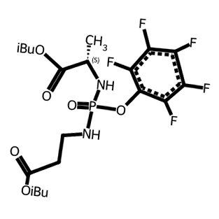 CC(C)COC(=O)CCNP(=O)(N[C@@H](C)C(=O)OCC(C)C)Oc1c(F)c(F)c(F)c(F)c1F